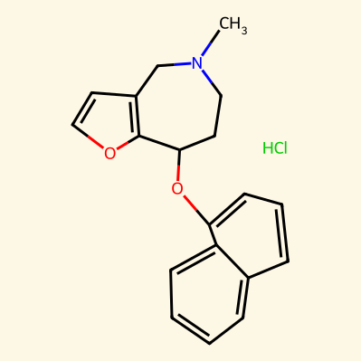 CN1CCC(Oc2cccc3ccccc23)c2occc2C1.Cl